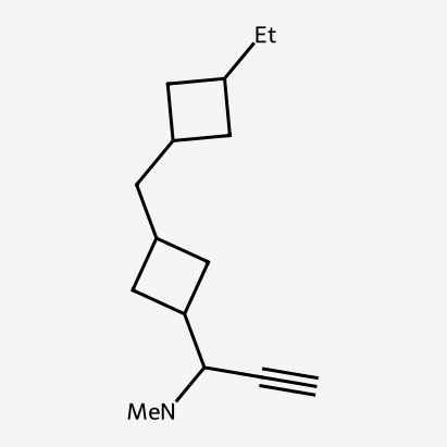 C#CC(NC)C1CC(CC2CC(CC)C2)C1